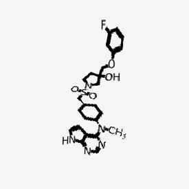 CN(c1ncnc2[nH]ccc12)[C@H]1CC[C@H](CS(=O)(=O)N2CCC(O)(COc3cccc(F)c3)C2)CC1